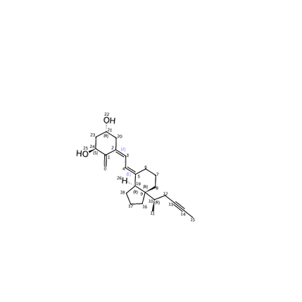 C=C1/C(=C\C=C2/CCC[C@@]3([C@H](C)CC#CC)CCC[C@@H]23)C[C@@H](O)C[C@@H]1O